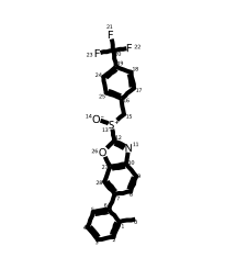 Cc1ccccc1-c1ccc2nc([S+]([O-])Cc3ccc(C(F)(F)F)cc3)oc2c1